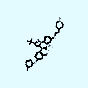 Cc1cc(Oc2ccc(N(C(N)=O)c3cc(C(C)(C)C)nn3-c3ccc(OCCC4CCNCC4)cc3)c(F)c2)ccn1